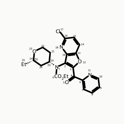 CCOC(=O)N(c1c(C(=O)c2ccccn2)oc2ccc(Cl)nc12)[C@H]1CCO[C@@H](CC)C1